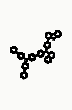 c1ccc(-c2ccc(N(c3ccc(-c4ccccc4)cc3)c3ccc(-c4ccc(N(c5ccc(-c6cccc7c6sc6ccccc67)cc5)c5cccc6ccccc56)cc4)cc3)cc2)cc1